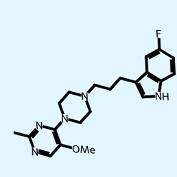 COc1cnc(C)nc1N1CCN(CCCc2c[nH]c3ccc(F)cc23)CC1